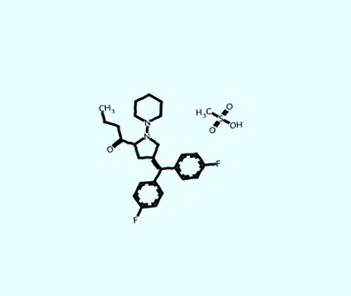 CCCC(=O)C1CC(=C(c2ccc(F)cc2)c2ccc(F)cc2)CN1N1CCCCC1.CS(=O)(=O)O